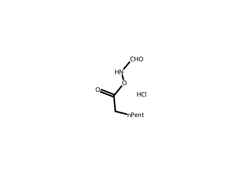 CCCCCCC(=O)ONC=O.Cl